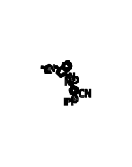 CC1CCN(Cc2ccc(-c3noc(-c4ccc(OC(C)C)c(C#N)c4)n3)c3ccccc23)C1